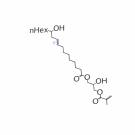 C=C(C)C(=O)OCC(O)COC(=O)CCCCCCC/C=C/CC(O)CCCCCC